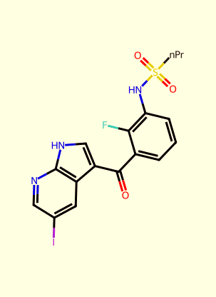 CCCS(=O)(=O)Nc1cccc(C(=O)c2c[nH]c3ncc(I)cc23)c1F